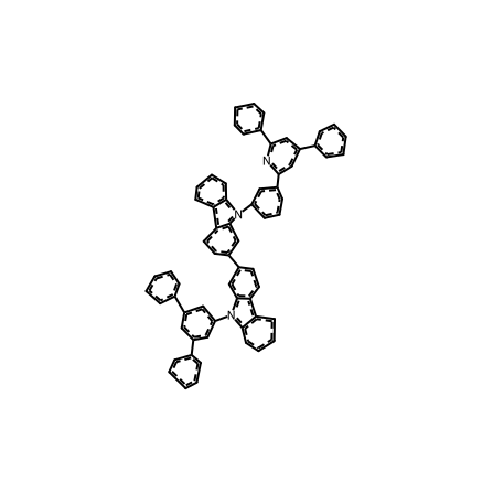 c1ccc(-c2cc(-c3ccccc3)cc(-n3c4ccccc4c4ccc(-c5ccc6c7ccccc7n(-c7cccc(-c8cc(-c9ccccc9)cc(-c9ccccc9)n8)c7)c6c5)cc43)c2)cc1